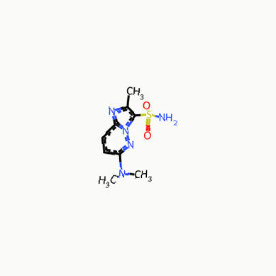 Cc1nc2ccc(N(C)C)nn2c1S(N)(=O)=O